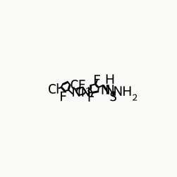 NC(=S)NN=Cc1cc(F)c(N2CCN(Cc3c(C(F)(F)F)ccc(Cl)c3F)CC2)cc1F